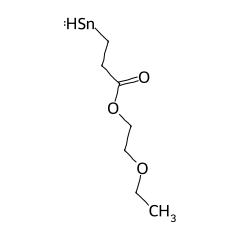 CCOCCOC(=O)C[CH2][SnH]